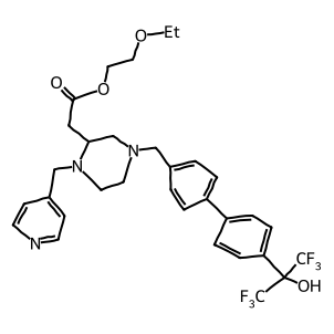 CCOCCOC(=O)CC1CN(Cc2ccc(-c3ccc(C(O)(C(F)(F)F)C(F)(F)F)cc3)cc2)CCN1Cc1ccncc1